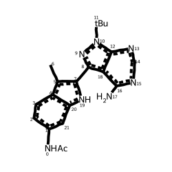 CC(=O)Nc1ccc2c(C)c(-c3nn(C(C)(C)C)c4ncnc(N)c34)[nH]c2c1